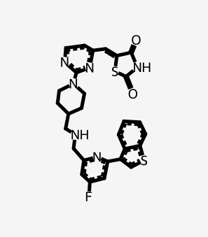 O=C1NC(=O)C(=Cc2ccnc(N3CCC(CNCc4cc(F)cc(-c5csc6ccccc56)n4)CC3)n2)S1